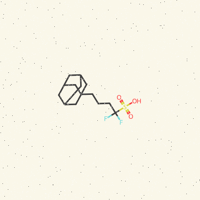 O=S(=O)(O)C(F)(F)CCCC12CC3CC(CC(C3)C1)C2